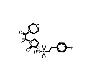 C[C@@H](C(=O)N1CCOCC1)N1CC[C@H](NS(=O)(=O)CCc2ccc(F)cc2)C1=O